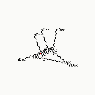 CCCCCCCCCCCCCCCCCCOC(CO)C(OCCCCCCCCCCCCCCCCCC)OP(=O)(OCCCCCCCCCCCCCCCCCC)OP(=O)(OCCCCCCCCCCCCCCCCCC)OP(=O)(OCCCCCCCCCCCCCCCCCC)OCCCCCCCCCCCCCCCCCC